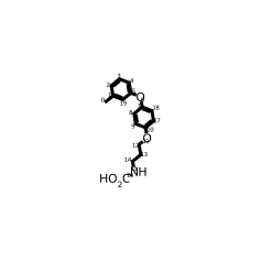 Cc1cccc(Oc2ccc(OCCCNC(=O)O)cc2)c1